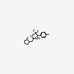 Cc1ccc(C(NC(=O)CC2CCCN2C)C(F)(F)F)cc1